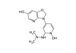 CN(C)NC1C=C(N2COc3cc(O)cnc32)C=CN1O